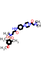 COc1cc(C)c(S(=O)(=O)N(C)CCC(=O)NC2CCC(N3CCN(C(=O)CN(C)C)CC3)CC2)c(C)c1